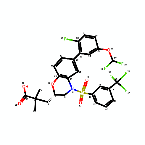 CC(C)(C[C@H]1CN(S(=O)(=O)c2cccc(C(F)(F)F)c2)c2cc(-c3cc(OC(F)F)ccc3F)ccc2O1)C(=O)O